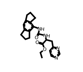 CCOC(=O)C(Cc1ccncn1)NC(=O)Nc1c2c(cc3c1CCC3)CCC2